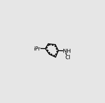 CC(C)c1ccc(NCl)cc1